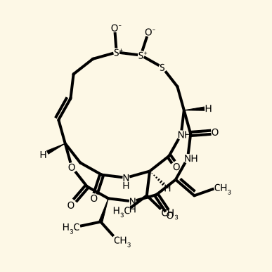 C/C=C1\NC(=O)[C@H]2CS[S+]([O-])[S+]([O-])CC/C=C/[C@H](CC(=O)N[C@H](C(C)C)C(=O)N2)OC(=O)[C@H](C(C)C)NC1=O